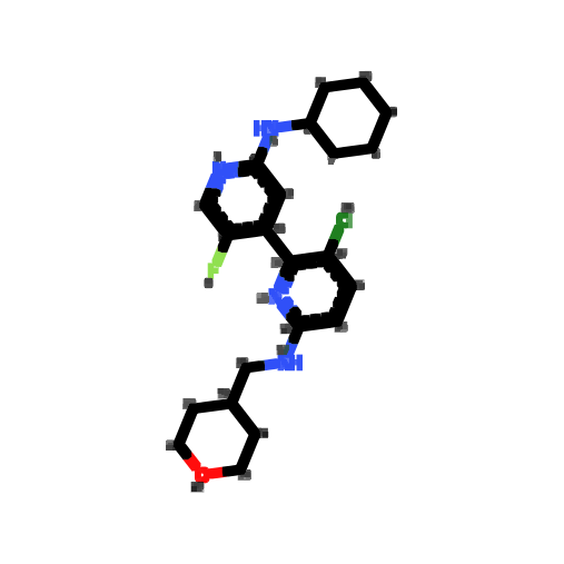 Fc1cnc(NC2CCCCC2)cc1-c1nc(NCC2CCOCC2)ccc1Cl